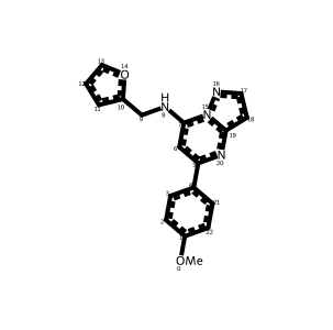 COc1ccc(-c2cc(NCc3ccco3)n3nccc3n2)cc1